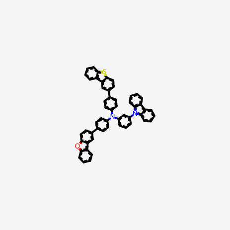 c1cc(N(c2ccc(-c3ccc4oc5ccccc5c4c3)cc2)c2ccc(-c3ccc4sc5ccccc5c4c3)cc2)cc(-n2c3ccccc3c3ccccc32)c1